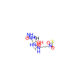 [2H]CC(O)[C@H](CCCNC(N)=O)NC(=O)[C@@H](NC(=O)CCCCCN1C(=O)CC(SC)C1=O)C(C)C